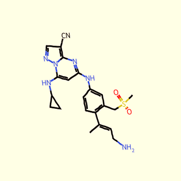 CC(=CCN)c1ccc(Nc2cc(NC3CC3)n3ncc(C#N)c3n2)cc1CS(C)(=O)=O